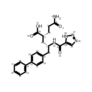 NC(=O)CC[C@H](C[C@@H](Cc1ccc(-c2ccccc2)cc1)NC(=O)c1cnn[nH]1)C(=O)O